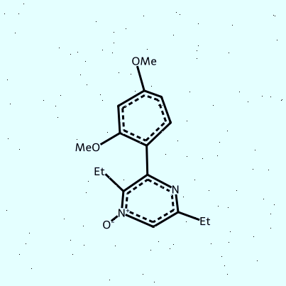 CCc1c[n+]([O-])c(CC)c(-c2ccc(OC)cc2OC)n1